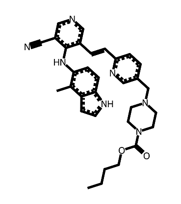 CCCCOC(=O)N1CCN(Cc2ccc(/C=C/c3cncc(C#N)c3Nc3ccc4[nH]ccc4c3C)nc2)CC1